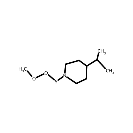 COOSN1CCC(C(C)C)CC1